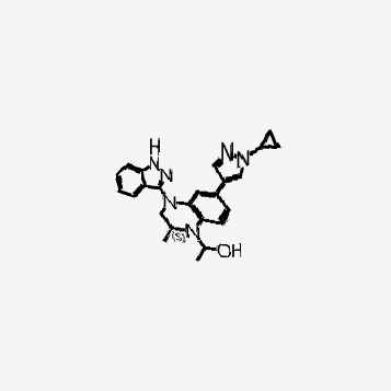 CC(O)N1c2ccc(-c3cnn(C4CC4)c3)cc2N(c2n[nH]c3ccccc23)C[C@@H]1C